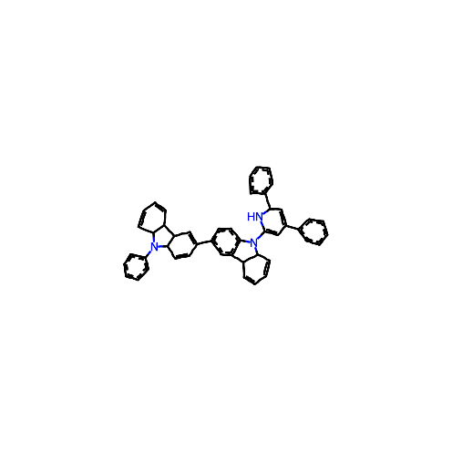 C1=CC2c3cc(C4=CC5C6C=CC=CC6N(c6ccccc6)C5C=C4)ccc3N(C3=CC(c4ccccc4)=CC(c4ccccc4)N3)C2C=C1